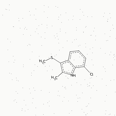 CSc1c(C)[nH]c2c(Cl)cccc12